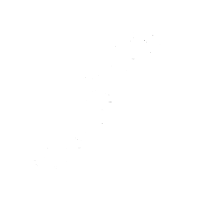 CC1(F)CN(C(=O)c2ccc(-c3cc(Cl)c4c(c3)CC(C=CC(=O)NCc3ccc(N)nc3)O4)cc2)C1